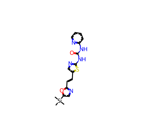 C[Si](C)(C)c1cnc(C=Cc2cnc(NC(=O)Nc3ccccn3)s2)o1